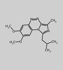 COc1cc2nnc3c(C)nc(CC(C)C)n3c2cc1OC